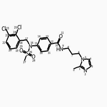 Cc1nccn1CCCNC(=O)c1ccc(N(Cc2cccc(Cl)c2Cl)S(C)(=O)=O)cc1